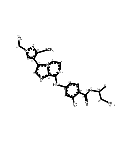 CCc1cc(Nc2nccn3c(-c4cn(CC#N)nc4C(F)(F)F)cnc23)ccc1C(=O)NC(C)CN